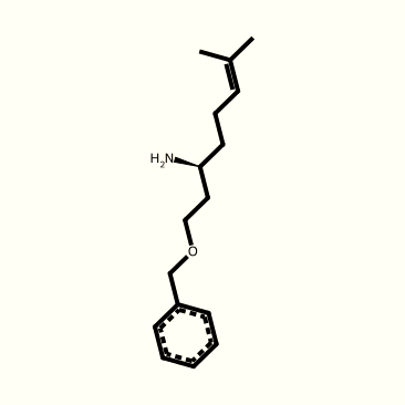 CC(C)=CCC[C@H](N)CCOCc1ccccc1